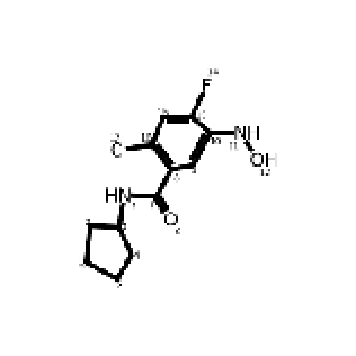 O=C(NC1CCCC1)c1cc(NO)c(F)cc1Cl